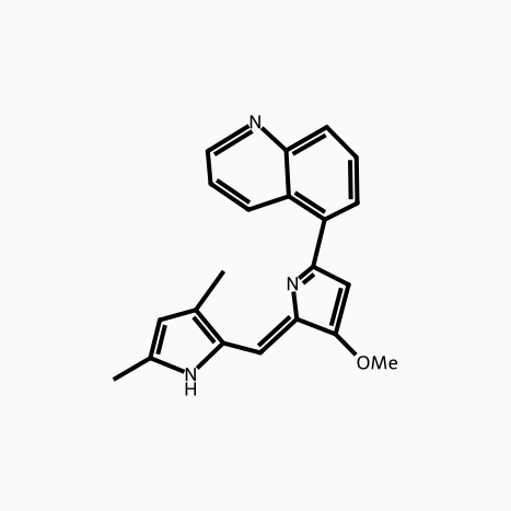 COC1=CC(c2cccc3ncccc23)=N/C1=C\c1[nH]c(C)cc1C